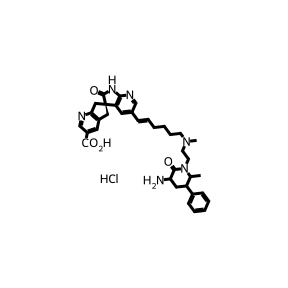 CC1C(c2ccccc2)CC(N)C(=O)N1CCN(C)CCCC/C=C/c1cnc2c(c1)[C@@]1(Cc3cc(C(=O)O)cnc3C1)C(=O)N2.Cl